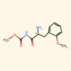 COC(=O)NC(=O)[C@@H](N)Cc1ccccc1OC